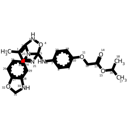 CC1=C2NOC(Nc3ccc(OCC(=O)OC(C)C)cc3)(N=C1)N2c1ccc2c(c1)NCO2